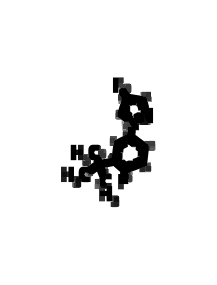 CC(C)(C)c1cc(-n2cc(F)cn2)ccc1F